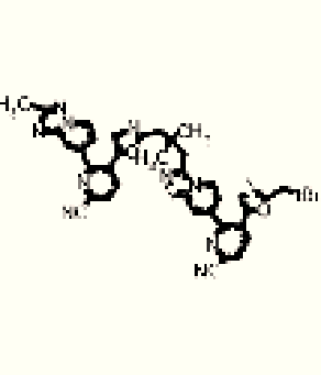 Cc1nc2cc(-c3nc(C#N)ccc3-c3cnc(CC(C)(C)Cc4nnc5cc(-c6nc(C#N)ccc6-c6cnc(CC(C)(C)C)o6)ccn45)o3)ccn2n1